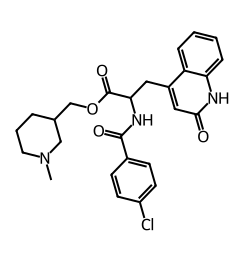 CN1CCCC(COC(=O)C(Cc2cc(=O)[nH]c3ccccc23)NC(=O)c2ccc(Cl)cc2)C1